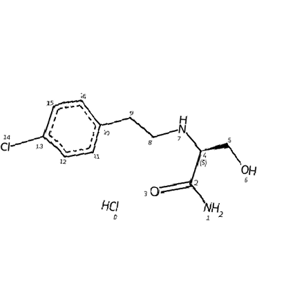 Cl.NC(=O)[C@H](CO)NCCc1ccc(Cl)cc1